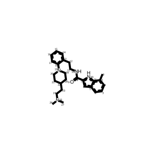 Cc1cccc2cc(C(=O)NCCc3ccccc3N3CCC(CCN(C)C)CC3)[nH]c12